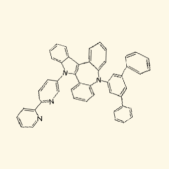 c1ccc(-c2cc(-c3ccccc3)cc(N3c4ccccc4-c4c(n(-c5ccc(-c6ccccn6)nc5)c5ccccc45)-c4ccccc43)c2)cc1